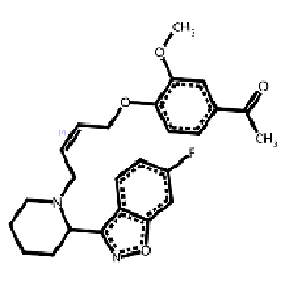 COc1cc(C(C)=O)ccc1OC/C=C\CN1CCCCC1c1noc2cc(F)ccc12